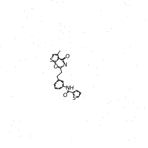 Cc1csc2oc(CCc3cccc(NC(=O)c4cccs4)c3)nc(=O)c12